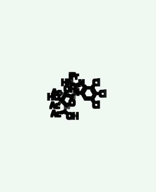 CC(=O)C(O)[C@H]1O[C@@H](n2c(NC(C)C)nc3c(Cl)c(Cl)c(Cl)cc32)[C@@](O)(C(C)=O)[C@@]1(O)C(C)=O